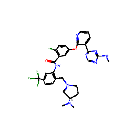 CNc1ncnc(-c2cccnc2Oc2ccc(F)c(C(=O)Nc3cc(C(F)(F)F)ccc3CN3CC[C@H](N(C)C)C3)c2)n1